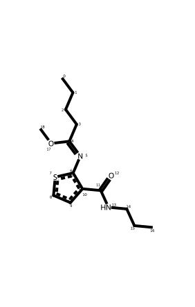 CCCCC(=Nc1sccc1C(=O)NCCC)OC